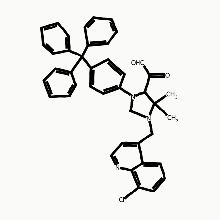 CC1(C)C(C(=O)C=O)N(c2ccc(C(c3ccccc3)(c3ccccc3)c3ccccc3)cc2)CN1Cc1ccnc2c(Cl)cccc12